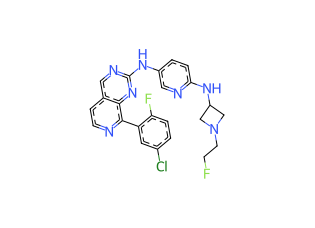 FCCN1CC(Nc2ccc(Nc3ncc4ccnc(-c5cc(Cl)ccc5F)c4n3)cn2)C1